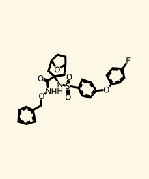 O=C(NOCc1ccccc1)C1(NS(=O)(=O)c2ccc(Oc3ccc(F)cc3)cc2)CC2CCC(C1)O2